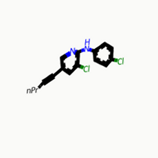 CCCC#Cc1cnc(Nc2ccc(Cl)cc2)c(Cl)c1